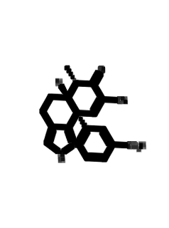 C[C@@H]1C(=O)C(C#N)=C[C@@]2(c3cccc(C(=O)O)c3)c3n[nH]cc3CC[C@H]12